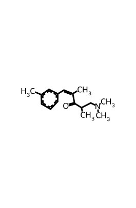 CC(=Cc1cccc(C)c1)C(=O)C(C)CN(C)C